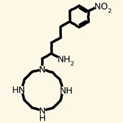 NC(CCCC1C=CC([N+](=O)[O-])=CC1)CN1CCNCCNCCNCC1